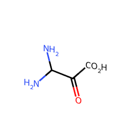 NC(N)C(=O)C(=O)O